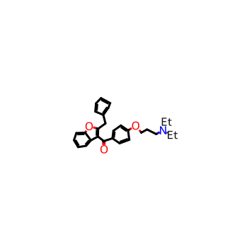 CCN(CC)CCCOc1ccc(C(=O)c2c(Cc3ccccc3)oc3ccccc23)cc1